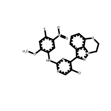 COc1cc(F)c([N+](=O)[O-])cc1Nc1ncc(Cl)c(-c2nn3c4c(cccc24)OCC3)n1